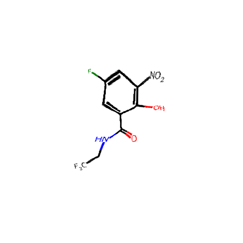 O=C(NCC(F)(F)F)c1cc(F)cc([N+](=O)[O-])c1O